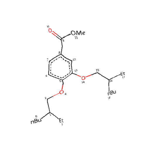 CCCCC(CC)COc1ccc(C(=O)OC)cc1OCC(CC)CCCC